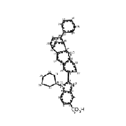 O=C(O)c1ccc2c(c1)nc(-c1ccc3nc4c(cc3c1)-c1ccc(-c3ccccc3)c-4c1)n2C1CCCCC1